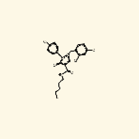 CCCCCNC(=O)c1cn(Cc2ccc(Cl)cc2Cl)n(-c2ccc(Cl)cc2)c1=O